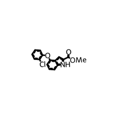 COC(=O)c1cc2c(Oc3ccccc3Cl)cccc2[nH]1